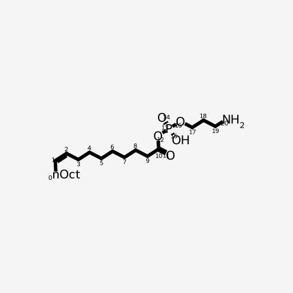 CCCCCCCC/C=C\CCCCCCCC(=O)OP(=O)(O)OCCCN